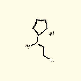 CN(CCCl)C1CCCC1.Cl